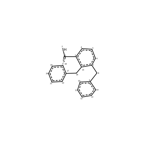 S=C(S)c1cccc(Cc2ccccc2)c1Cc1ccccc1